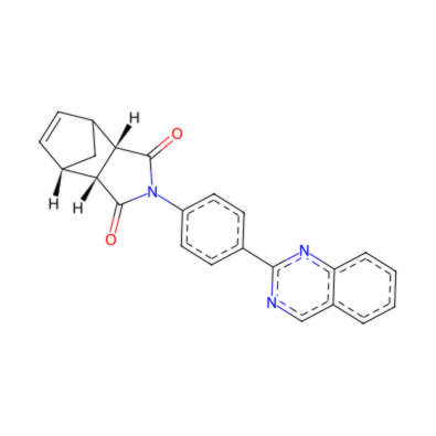 O=C1[C@@H]2[C@@H]3C=CC(C3)[C@@H]2C(=O)N1c1ccc(-c2ncc3ccccc3n2)cc1